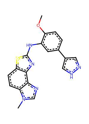 COc1ccc(-c2cn[nH]c2)cc1Nc1nc2c(ccc3c2ncn3C)s1